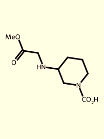 COC(=O)CNC1CCCN(C(=O)O)C1